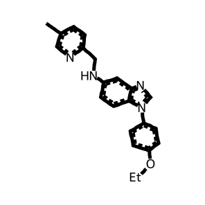 CCOc1ccc(-n2cnc3cc(NCc4ccc(C)cn4)ccc32)cc1